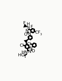 C[C@@H](O)CNc1nc(=O)n(-c2ccccc2Cl)c2cc(C3CC3c3cccc(-n4c(=O)nc(N[C@H]5C[C@@H]5F)c5c(F)cc(C(F)(F)F)cc54)c3)c(Cl)cc12